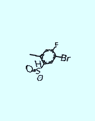 Cc1cc(F)c(Br)cc1[SH](=O)=O